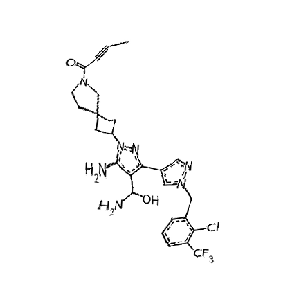 CC#CC(=O)N1CC[C@]2(C1)C[C@H](n1nc(-c3cnn(Cc4cccc(C(F)(F)F)c4Cl)c3)c(C(N)O)c1N)C2